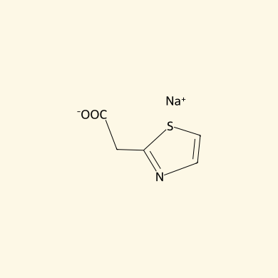 O=C([O-])Cc1nccs1.[Na+]